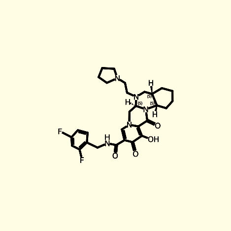 O=C(NCc1ccc(F)cc1F)c1cn2c(c(O)c1=O)C(=O)N1[C@H]3CCCC[C@H]3CN(CCN3CCCC3)[C@@H]1C2